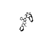 COC(=O)C(Cc1ccccc1)Oc1ccc(-c2c3ccccc3cc3sc(C)c(C)c23)cc1C1CCCC1